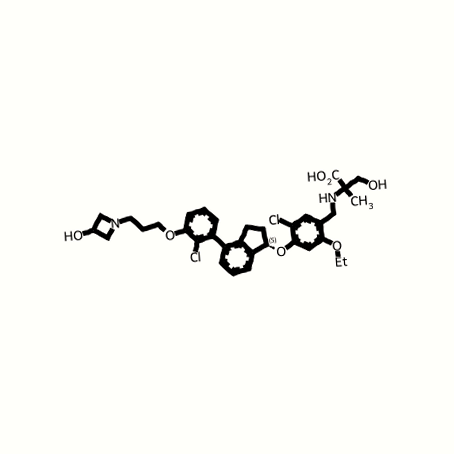 CCOc1cc(O[C@H]2CCc3c(-c4cccc(OCCCN5CC(O)C5)c4Cl)cccc32)c(Cl)cc1CNC(C)(CO)C(=O)O